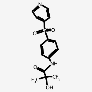 O=C(Nc1ccc(S(=O)(=O)c2ccncc2)cc1)C(O)(C(F)(F)F)C(F)(F)F